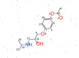 CC(=O)Oc1ccc(OCC(O)CNC(C)C)cc1